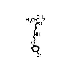 CN(C)C(=O)/C=C/CNCCOc1ccc(Br)cc1